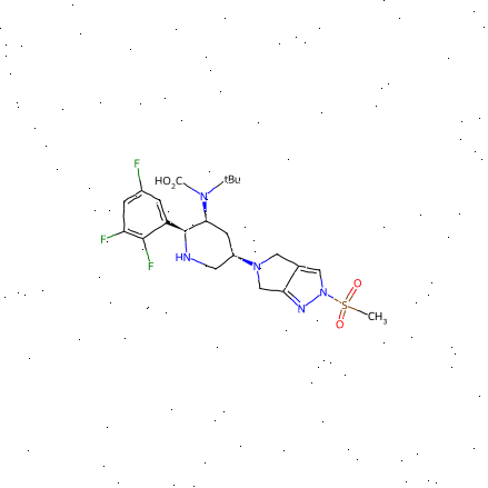 CC(C)(C)N(C(=O)O)[C@H]1C[C@@H](N2Cc3cn(S(C)(=O)=O)nc3C2)CN[C@H]1c1cc(F)cc(F)c1F